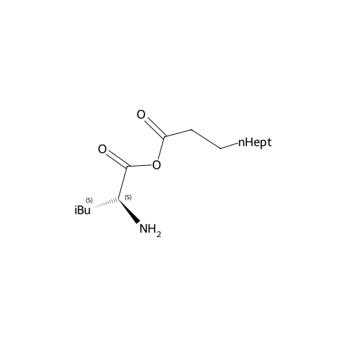 CCCCCCCCCC(=O)OC(=O)[C@@H](N)[C@@H](C)CC